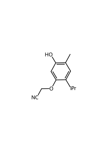 Cc1cc(C(C)C)c(OCC#N)cc1O